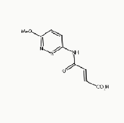 COc1ccc(NC(=O)/C=C/C(=O)O)nn1